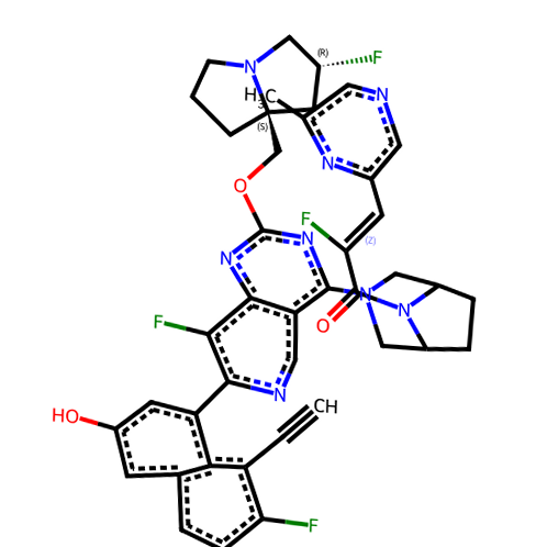 C#Cc1c(F)ccc2cc(O)cc(-c3ncc4c(N5CC6CCC(C5)N6C(=O)/C(F)=C/c5cncc(C)n5)nc(OC[C@@]56CCCN5C[C@H](F)C6)nc4c3F)c12